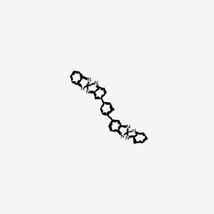 c1ccc2c(c1)=NC1(N=2)N=c2ccc(-c3ccc(-c4ccc5c(c4)=NC4(N=c6ccccc6=N4)N=5)cc3)cc2=N1